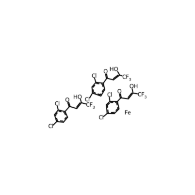 O=C(/C=C(\O)C(F)(F)F)c1ccc(Cl)cc1Cl.O=C(/C=C(\O)C(F)(F)F)c1ccc(Cl)cc1Cl.O=C(/C=C(\O)C(F)(F)F)c1ccc(Cl)cc1Cl.[Fe]